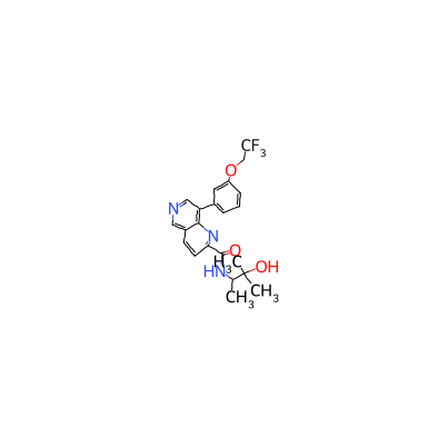 CC(NC(=O)c1ccc2cncc(-c3cccc(OCC(F)(F)F)c3)c2n1)C(C)(C)O